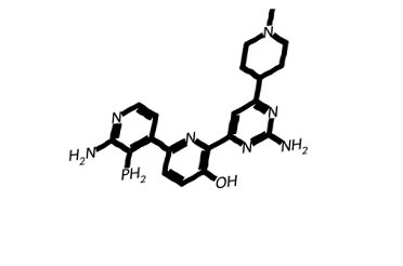 CN1CCC(c2cc(-c3nc(-c4ccnc(N)c4P)ccc3O)nc(N)n2)CC1